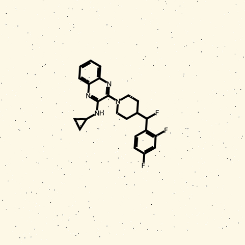 Fc1ccc(C(F)C2CCN(c3nc4ccccc4nc3NC3CC3)CC2)c(F)c1